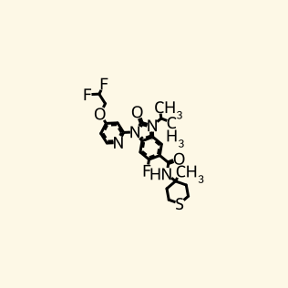 CC(C)n1c(=O)n(-c2cc(OCC(F)F)ccn2)c2cc(F)c(C(=O)NC3(C)CCSCC3)cc21